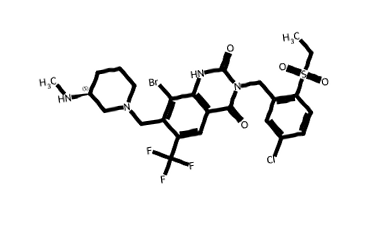 CCS(=O)(=O)c1ccc(Cl)cc1Cn1c(=O)[nH]c2c(Br)c(CN3CCC[C@H](NC)C3)c(C(F)(F)F)cc2c1=O